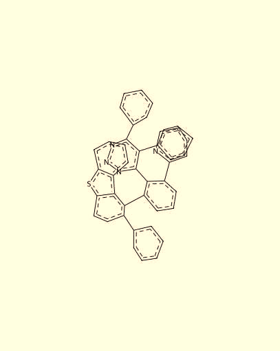 c1ccc(-c2ccc3sc4ccccc4c3c2-c2cccc(-c3ccccn3)c2-c2nnnc(-c3ccccc3)c2-c2ccccc2)cc1